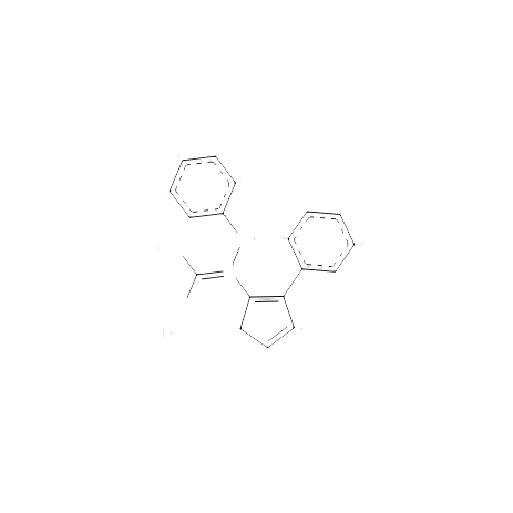 C[C](C)=[Ti]([O]c1ccccc1)[C]1=C(c2ccccc2)C=CC1.Cl.Cl